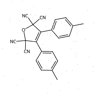 Cc1ccc(C2=C(c3ccc(C)cc3)C(C#N)(C#N)OC2(C#N)C#N)cc1